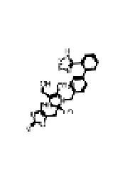 CCCC1(Cc2oc(=O)oc2C)NC(CO)=C(C(=O)O)N1Cc1ccc(-c2ccccc2-c2nnn[nH]2)cc1